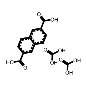 O=C(O)O.O=C(O)O.O=C(O)c1ccc2cc(C(=O)O)ccc2c1